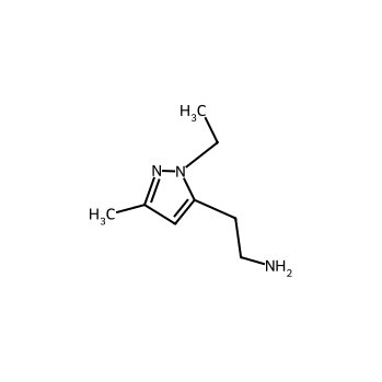 CCn1nc(C)cc1CCN